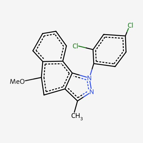 COc1cc2c(C)nn(-c3ccc(Cl)cc3Cl)c2c2ccccc12